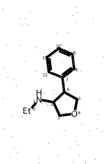 CCNC1COCC1c1ccccc1